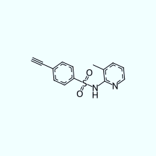 C#Cc1ccc(S(=O)(=O)Nc2ncccc2C)cc1